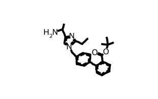 CCc1nc(C(C)N)cn1Cc1ccc(-c2ccccc2C(=O)OC(C)(C)C)cc1